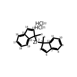 C[C]1([Zr][C]2(C)C=Cc3ccccc32)C=Cc2ccccc21.Cl.Cl